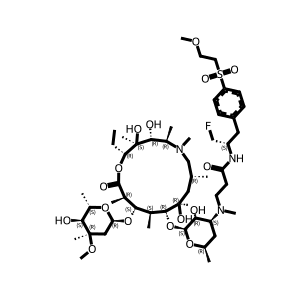 CC[C@H]1OC(=O)[C@H](C)[C@@H](O[C@H]2C[C@@](C)(OC)[C@@H](O)[C@H](C)O2)[C@H](C)[C@@H](O[C@@H]2O[C@H](C)C[C@H](N(C)CCC(=O)N[C@H](CF)Cc3ccc(S(=O)(=O)CCOC)cc3)[C@H]2O)[C@](C)(O)C[C@@H](C)CN(C)[C@H](C)[C@@H](O)[C@]1(C)O